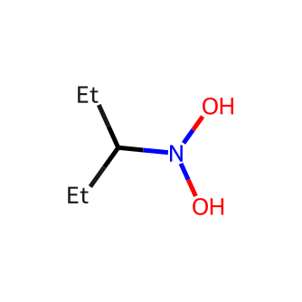 CCC(CC)N(O)O